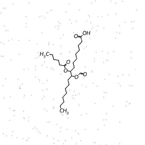 CCCCCCCCC(OC=O)C(CCCCCCCC(=O)O)OC(=O)CCCCC